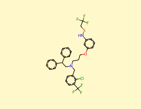 FC(F)(F)CSNc1cccc(OCCCN(Cc2cccc(C(F)(F)F)c2Cl)CC(c2ccccc2)c2ccccc2)c1